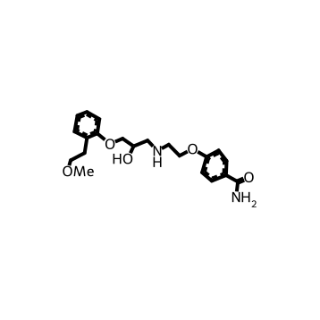 COCCc1ccccc1OCC(O)CNCCOc1ccc(C(N)=O)cc1